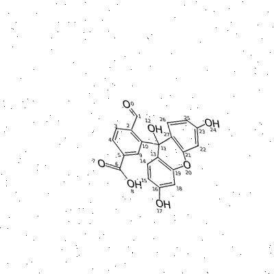 O=Cc1ccc(C(=O)O)cc1C1(O)c2ccc(O)cc2Oc2cc(O)ccc21